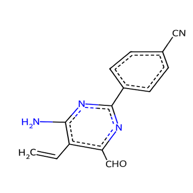 C=Cc1c(N)nc(-c2ccc(C#N)cc2)nc1C=O